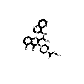 CC(Nc1ncnc2cccnc12)c1nc2cccc(Cl)c2c(=O)n1N1CCN(C(=O)OC(C)(C)C)CC1